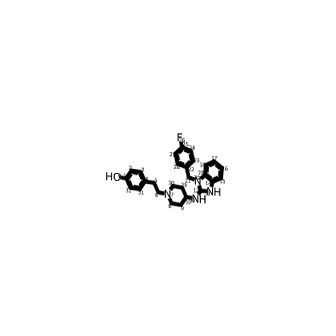 Oc1ccc(CCN2CCC(NC3Nc4ccccc4N3Cc3ccc(F)cc3)CC2)cc1